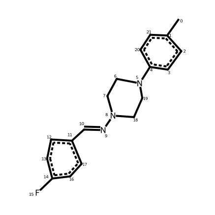 Cc1ccc(N2CCN(N=Cc3ccc(F)cc3)CC2)cc1